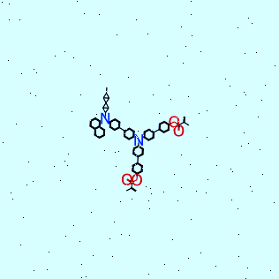 C=C(C)C(=O)Oc1ccc(-c2ccc(N(c3ccc(-c4ccc(OC(=O)C(=C)C)cc4)cc3)c3ccc(-c4ccc(N(c5cccc6ccccc56)C5C6C5C65C6C(C)C65)cc4)cc3)cc2)cc1